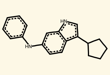 c1ccc(Nc2ccc3c(C4CCCC4)c[nH]c3c2)cc1